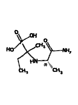 CCC(C)(N[C@@H](C)C(N)=O)P(=O)(O)O